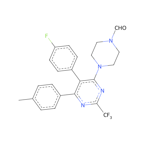 Cc1ccc(-c2nc(C(F)(F)F)nc(N3CCN(C=O)CC3)c2-c2ccc(F)cc2)cc1